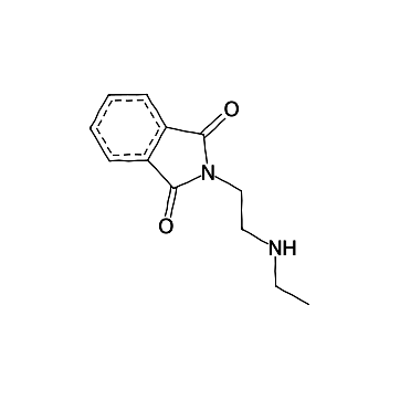 CCNCCN1C(=O)c2ccccc2C1=O